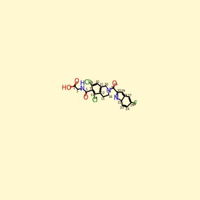 O=C(O)CNC(=O)c1c(Cl)cc2c(c1Cl)CCN(C(=O)C1=NC3C=CC(F)=CC3=C1)C2